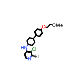 CCc1nccc(NC2CCC(c3ccc(OCCOC)cc3)CC2)c1Cl